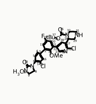 COc1c(-c2ccc(N3CCN(C)C3=O)c(Cl)c2)cc(F)cc1-c1cnc(Cl)c(C2CNCCN2C(=O)OC(C)(C)C)c1